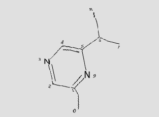 Cc1cncc(C(C)I)n1